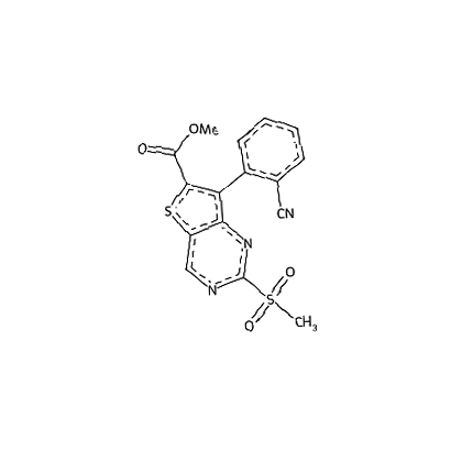 COC(=O)c1sc2cnc(S(C)(=O)=O)nc2c1-c1ccccc1C#N